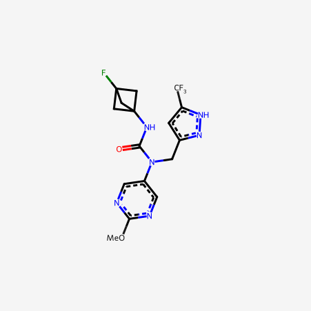 COc1ncc(N(Cc2cc(C(F)(F)F)[nH]n2)C(=O)NC23CC(F)(C2)C3)cn1